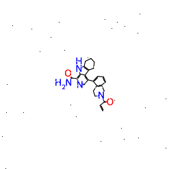 C=CC(=O)N1CCc2c(cccc2-c2cnc(C(N)=O)c3[nH]c4c(c23)CCCC4)C1